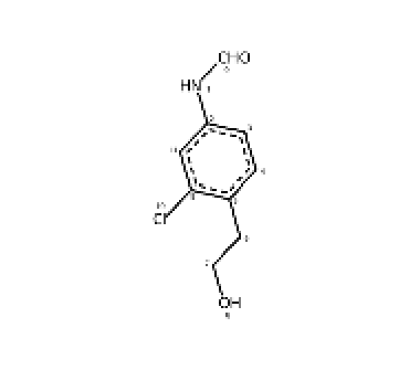 O=CNc1ccc(CCO)c(Cl)c1